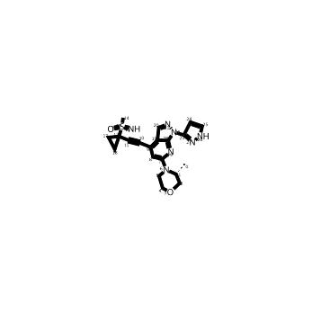 C[C@@H]1COCCN1c1cc(C#CC2(S(C)(=N)=O)CC2)c2cnn(-c3cc[nH]n3)c2n1